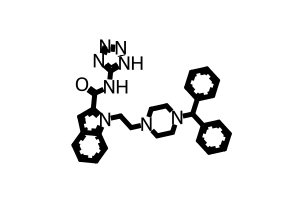 O=C(Nc1nnn[nH]1)c1cc2ccccc2n1CCN1CCN(C(c2ccccc2)c2ccccc2)CC1